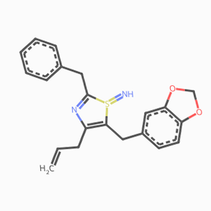 C=CCC1=C(Cc2ccc3c(c2)OCO3)S(=N)C(Cc2ccccc2)=N1